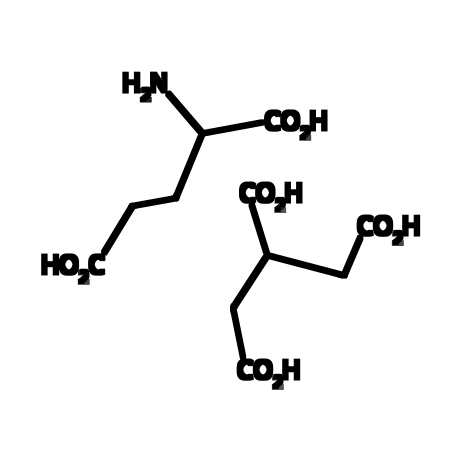 NC(CCC(=O)O)C(=O)O.O=C(O)CC(CC(=O)O)C(=O)O